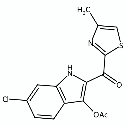 CC(=O)Oc1c(C(=O)c2nc(C)cs2)[nH]c2cc(Cl)ccc12